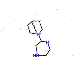 C1CNCC([N+]23CCC(CC2)CC3)[N]1